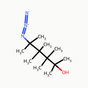 CC(C)(O)C(C)(C)C(C)(C)C(C)(C)N=[N+]=[N-]